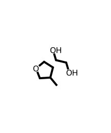 CC1CCOC1.OCCO